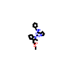 CCOC(=O)Cc1c(C)n(-c2nc(NCc3ccccc3)c3cccn3n2)c2ccccc12